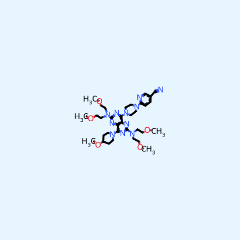 COCCN(CCOC)c1nc(N2CCN(c3ccc(C#N)cn3)CC2)c2nc(N(CCOC)CCOC)nc(N3CCC(OC)CC3)c2n1